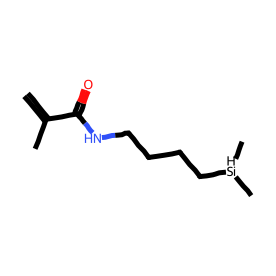 C=C(C)C(=O)NCCCC[SiH](C)C